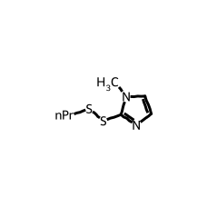 CCCSSc1nccn1C